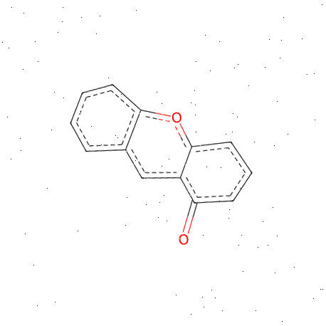 O=c1cccc2oc3ccccc3cc1-2